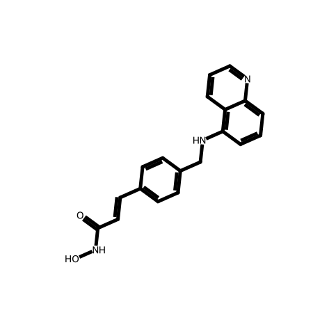 O=C(/C=C/c1ccc(CNc2cccc3ncccc23)cc1)NO